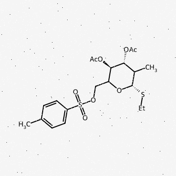 CCS[C@@H]1OC(COS(=O)(=O)c2ccc(C)cc2)[C@@H](OC(C)=O)[C@H](OC(C)=O)C1C